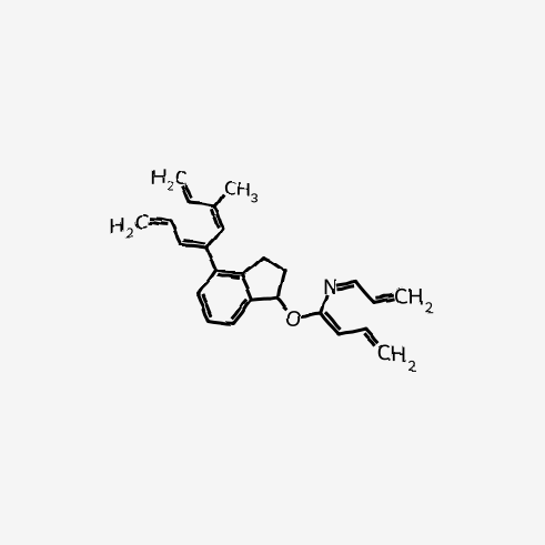 C=C/C=N\C(=C/C=C)OC1CCc2c(C(/C=C(/C)C=C)=C/C=C)cccc21